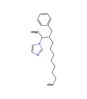 CCCCCCCCCCCCCCCCCC(Cc1ccccc1)C(CCCCCCC)n1ccnc1